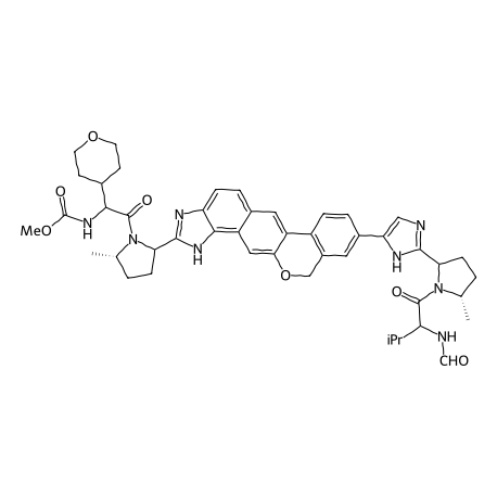 COC(=O)NC(C(=O)N1C(c2nc3ccc4cc5c(cc4c3[nH]2)OCc2cc(-c3cnc(C4CC[C@H](C)N4C(=O)C(NC=O)C(C)C)[nH]3)ccc2-5)CC[C@@H]1C)C1CCOCC1